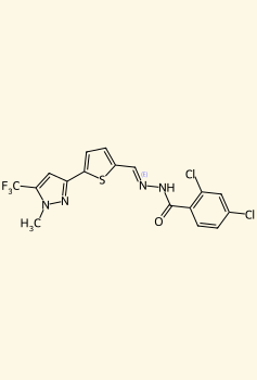 Cn1nc(-c2ccc(/C=N/NC(=O)c3ccc(Cl)cc3Cl)s2)cc1C(F)(F)F